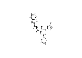 Cc1cc(CNC(CC(=O)N2CCCCC2)C(=O)NC(C)c2nc3ccccc3[nH]2)no1